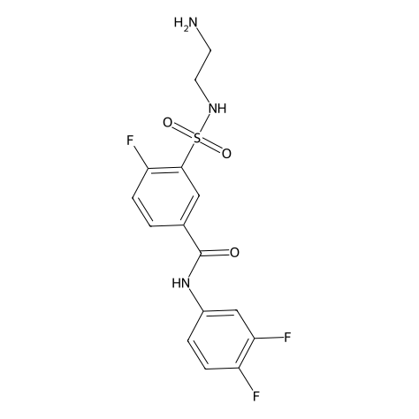 NCCNS(=O)(=O)c1cc(C(=O)Nc2ccc(F)c(F)c2)ccc1F